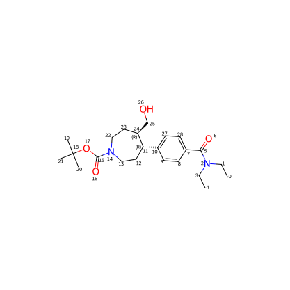 CCN(CC)C(=O)c1ccc([C@@H]2CCN(C(=O)OC(C)(C)C)CC[C@H]2CO)cc1